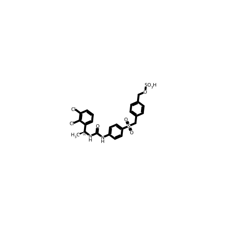 C[C@H](NC(=O)Nc1ccc(S(=O)(=O)Cc2ccc(COS(=O)(=O)O)cc2)cc1)c1cccc(Cl)c1Cl